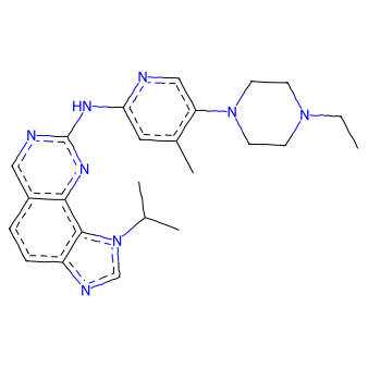 CCN1CCN(c2cnc(Nc3ncc4ccc5ncn(C(C)C)c5c4n3)cc2C)CC1